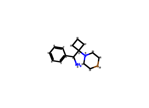 NC(c1ccccc1)C1(N2CCSCC2)CCC1